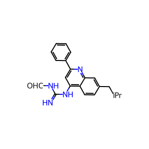 CC(C)Cc1ccc2c(NC(=N)NC=O)cc(-c3ccccc3)nc2c1